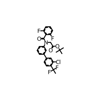 CC(C)(C)OC(=O)CN(C(=O)c1c(F)cccc1F)c1cccc(-c2ccc(C(C)(F)F)c(Cl)c2)c1